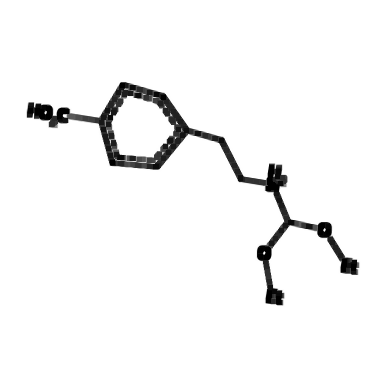 CCOC(OCC)[SiH2]CCc1ccc(C(=O)O)cc1